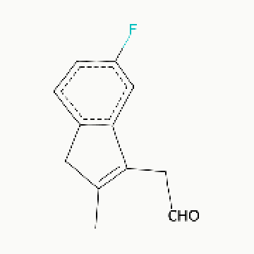 CC1=C(CC=O)c2cc(F)ccc2C1